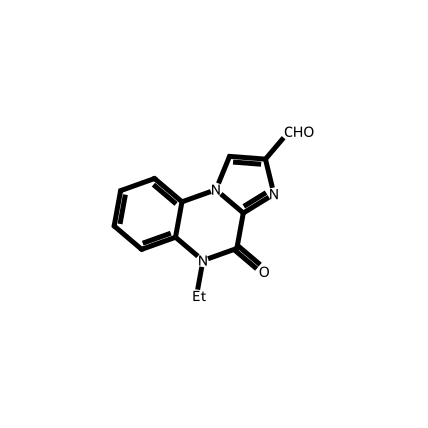 CCn1c(=O)c2nc(C=O)cn2c2ccccc21